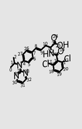 CC(C)N(c1ccc(/C=C/CC(NC(=O)c2c(Cl)cccc2Cl)C(=O)O)cc1)c1ncccn1